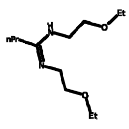 CCCC(=NCCOCC)NCCOCC